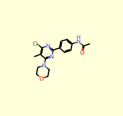 CC(=O)Nc1ccc(-c2nc(Cl)c(C)c(N3CCOCC3)n2)cc1